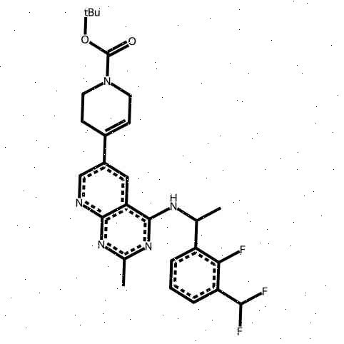 Cc1nc(NC(C)c2cccc(C(F)F)c2F)c2cc(C3=CCN(C(=O)OC(C)(C)C)CC3)cnc2n1